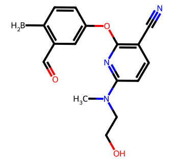 Bc1ccc(Oc2nc(N(C)CCO)ccc2C#N)cc1C=O